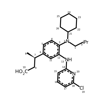 CC(C)CN(c1ccc([C@H](C)CC(=O)O)cc1Nc1cccc(Cl)n1)C1CCCCC1